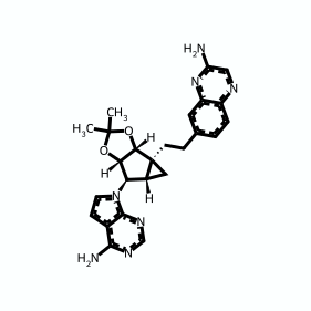 CC1(C)O[C@H]2[C@H](n3ccc4c(N)ncnc43)[C@H]3C[C@]3(CCc3ccc4ncc(N)nc4c3)[C@H]2O1